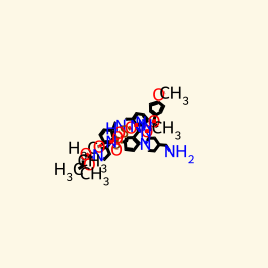 COc1ccc(CN(Cc2ccc(OC)cc2)S(=O)(=O)c2c(S(=O)(=O)NC3CCN(C(=O)OC(C)(C)C)C3)ccc(N3CCC(CN)CC3=O)c2-c2nnn(Cc3ccc(OC)cc3)n2)cc1